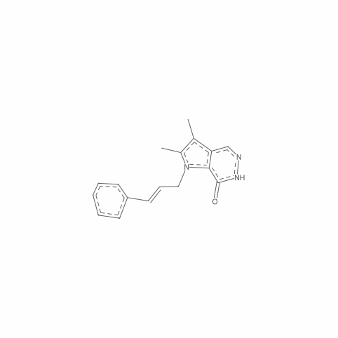 Cc1c(C)n(CC=Cc2ccccc2)c2c(=O)[nH]ncc12